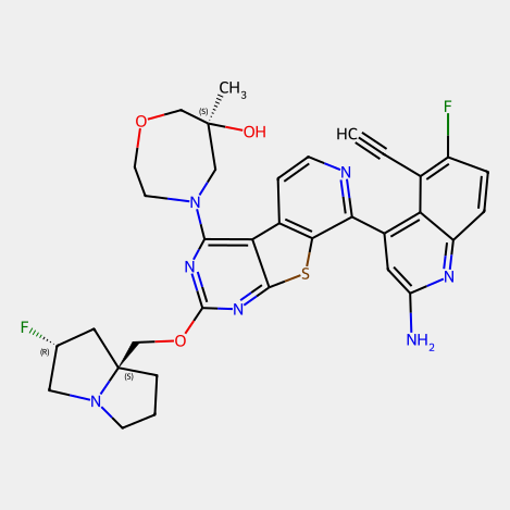 C#Cc1c(F)ccc2nc(N)cc(-c3nccc4c3sc3nc(OC[C@@]56CCCN5C[C@H](F)C6)nc(N5CCOC[C@@](C)(O)C5)c34)c12